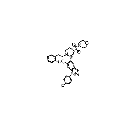 Cc1cc2c(cnn2-c2ccc(F)cc2)cc1[C@H]1CN(S(=O)(=O)N2CCOCC2)CCN1CCc1ccccc1